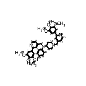 COc1cc(-c2cc(CN3CCC(N(Cc4ccnc(-c5cc(OC)c(OC)c(OC)c5)c4)c4ccc(F)cc4)CC3)ccn2)cc(OC)c1OC